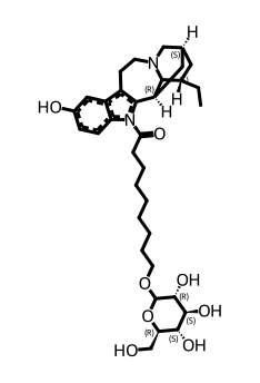 CC[C@H]1C[C@H]2C[C@H]3c4c(c5cc(O)ccc5n4C(=O)CCCCCCCCOC4O[C@H](CO)[C@@H](O)[C@H](O)[C@H]4O)CCN(C2)C13